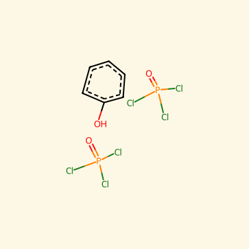 O=P(Cl)(Cl)Cl.O=P(Cl)(Cl)Cl.Oc1ccccc1